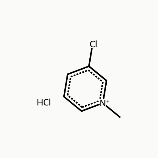 C[n+]1cccc(Cl)c1.Cl